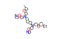 CCC1CC=Cc2c(oc3cc(N(c4ccc5c(ccc6cc(N(c7ccc8c9c(oc8c7)C7C(C)C7C=C9)c7ccc8c(c7)oc7ncccc78)ccc65)c4)c4ccc5c(c4)oc4ncccc45)ccc23)C1